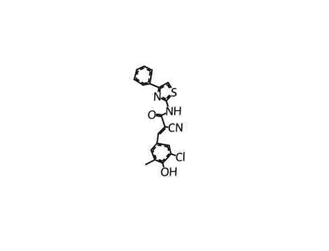 Cc1cc(/C=C(\C#N)C(=O)Nc2nc(-c3ccccc3)cs2)cc(Cl)c1O